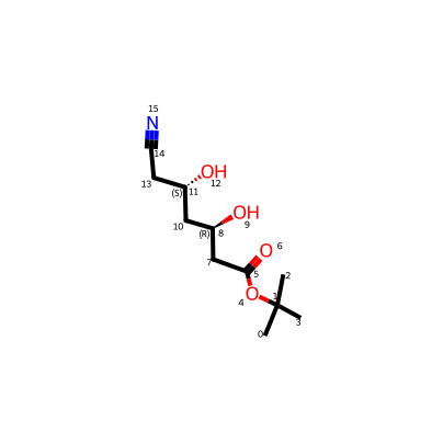 CC(C)(C)OC(=O)C[C@H](O)C[C@@H](O)CC#N